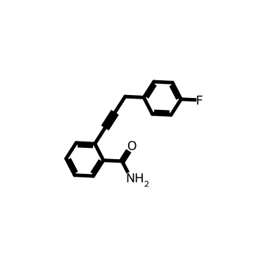 NC(=O)c1ccccc1C#CCc1ccc(F)cc1